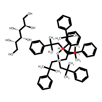 CC(C)([CH2][Sn]([CH2]C(C)(C)c1ccccc1)([CH2]C(C)(C)c1ccccc1)[O][Sn]([CH2]C(C)(C)c1ccccc1)([CH2]C(C)(C)c1ccccc1)[CH2]C(C)(C)c1ccccc1)c1ccccc1.OC[C@@H](O)[C@@H](O)[C@H](O)[C@@H](O)CO